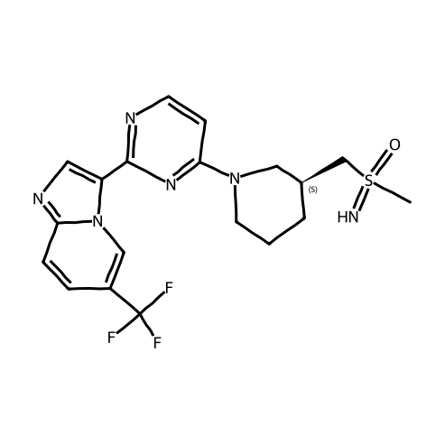 CS(=N)(=O)C[C@H]1CCCN(c2ccnc(-c3cnc4ccc(C(F)(F)F)cn34)n2)C1